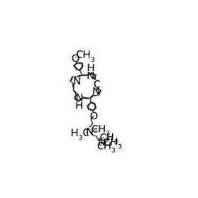 COc1ccc(-c2c3nc(cc4ccc([nH]4)c(-c4ccc(OCCC[N+](C)(C)CCC[N+](C)(C)C)cc4)c4nc(cc5ccc2[nH]5)C=C4)C=C3)cc1